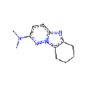 CN(C)c1ccc2nc3c(n2n1)CCCC3